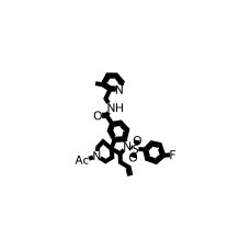 C=CCC1N(S(=O)(=O)c2ccc(F)cc2)c2ccc(C(=O)NCc3ncccc3C)cc2C12CCN(C(C)=O)CC2